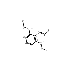 C/C=C/c1c(OCC)cccc1OCC